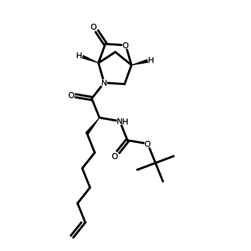 C=CCCCCC[C@H](NC(=O)OC(C)(C)C)C(=O)N1C[C@@H]2C[C@H]1C(=O)O2